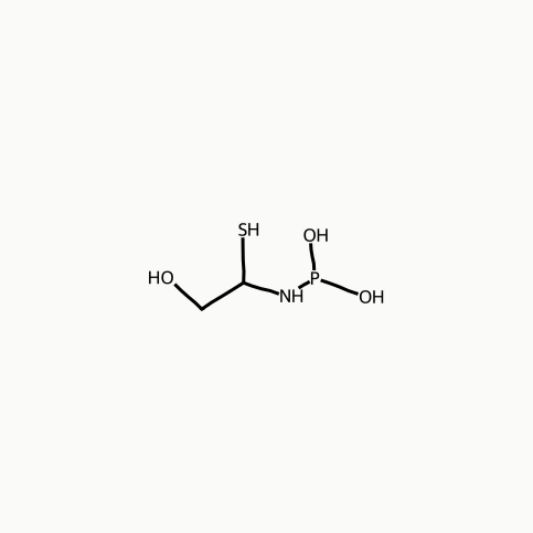 OCC(S)NP(O)O